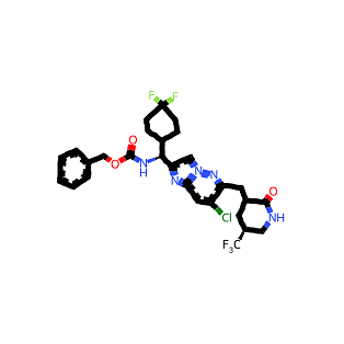 O=C(N[C@H](c1cn2nc(CC3C[C@H](C(F)(F)F)CNC3=O)c(Cl)cc2n1)C1CCC(F)(F)CC1)OCc1ccccc1